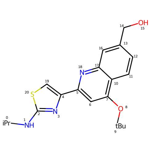 CC(C)Nc1nc(-c2cc(OC(C)(C)C)c3ccc(CO)cc3n2)cs1